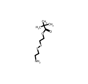 CC(C)(C)C(=O)OCCSSCCN